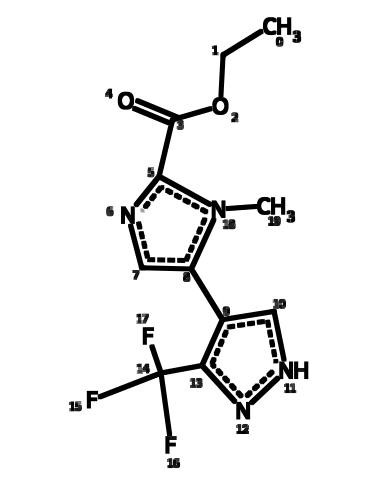 CCOC(=O)c1ncc(-c2c[nH]nc2C(F)(F)F)n1C